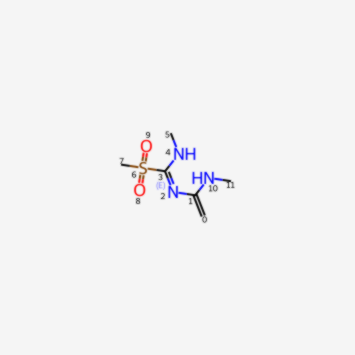 C=C(/N=C(\NC)S(C)(=O)=O)NC